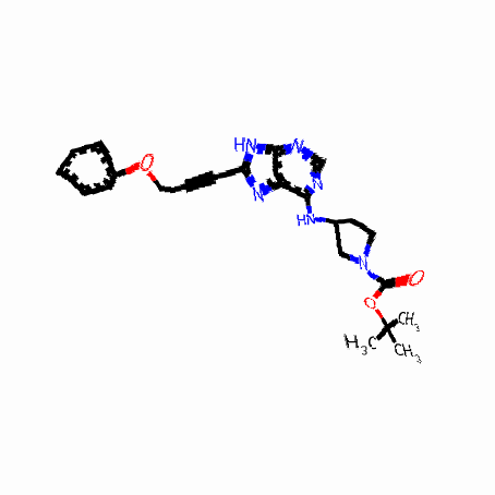 CC(C)(C)OC(=O)N1CCC(Nc2ncnc3[nH]c(C#CCOc4ccccc4)nc23)C1